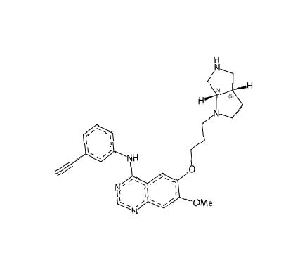 C#Cc1cccc(Nc2ncnc3cc(OC)c(OCCCN4CC[C@H]5CNC[C@H]54)cc23)c1